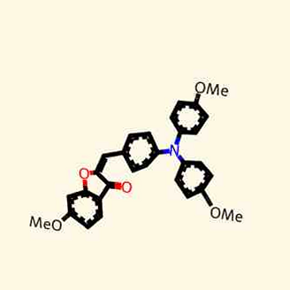 COc1ccc(N(c2ccc(/C=C3/Oc4cc(OC)ccc4C3=O)cc2)c2ccc(OC)cc2)cc1